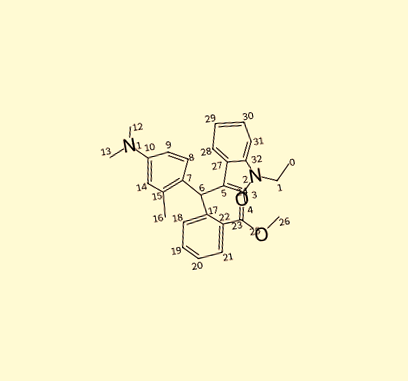 CCn1c(C)c(C(c2ccc(N(C)C)cc2C)c2ccccc2C(=O)OC)c2ccccc21